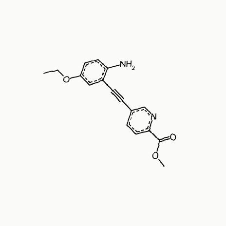 CCOc1ccc(N)c(C#Cc2ccc(C(=O)OC)nc2)c1